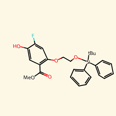 COC(=O)c1cc(O)c(F)cc1OCCO[Si](c1ccccc1)(c1ccccc1)C(C)(C)C